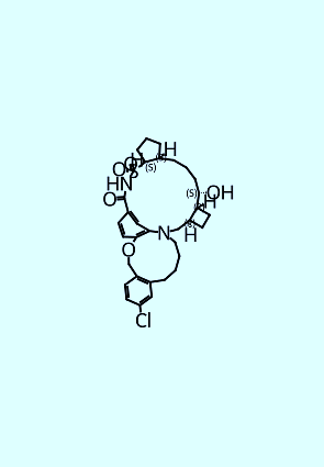 O=C1NS(=O)(=O)[C@H]2CCC[C@@H]2CCC[C@H](O)[C@@H]2CC[C@H]2CN2CCCCc3cc(Cl)ccc3COc3ccc1cc32